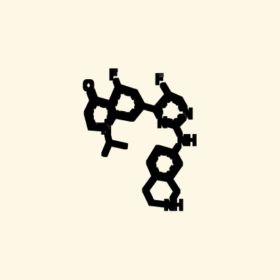 CC(C)n1ccc(=O)c2c(F)cc(-c3nc(Nc4ccc5c(c4)CNCC5)ncc3F)cc21